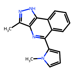 Cc1n[nH]c2c1nc(-c1cccn1C)c1ccccc12